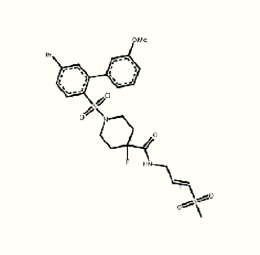 COc1cccc(-c2cc(Br)ccc2S(=O)(=O)N2CCC(F)(C(=O)NC/C=C/S(C)(=O)=O)CC2)c1